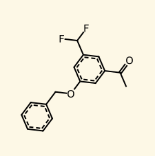 CC(=O)c1cc(OCc2ccccc2)cc(C(F)F)c1